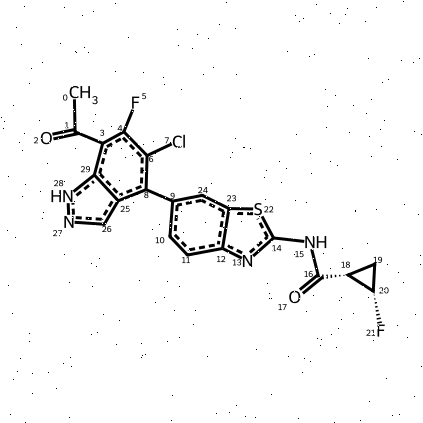 CC(=O)c1c(F)c(Cl)c(-c2ccc3nc(NC(=O)[C@@H]4C[C@@H]4F)sc3c2)c2cn[nH]c12